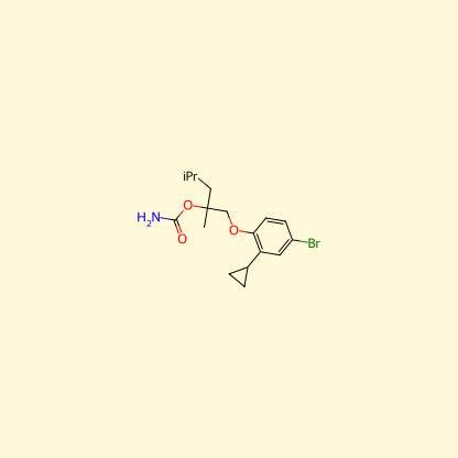 CC(C)CC(C)(COc1ccc(Br)cc1C1CC1)OC(N)=O